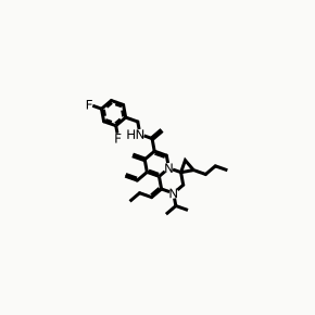 C=CC1=C2/C(=C\CC)N(C(C)C)CC3(CC3CCC)N2C=C(C(=C)NCc2ccc(F)cc2F)C1=C